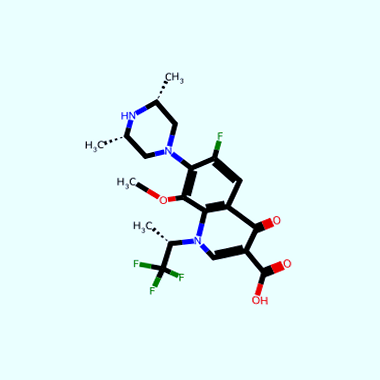 COc1c(N2C[C@@H](C)N[C@@H](C)C2)c(F)cc2c(=O)c(C(=O)O)cn([C@@H](C)C(F)(F)F)c12